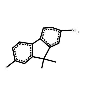 CC1(C)c2cc(N)ccc2-c2ccc(I)cc21